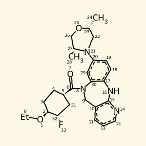 CCO[C@H]1CC[C@@H](C(=O)N2Cc3cccnc3Nc3ccc(N4C[C@@H](C)OC[C@H]4C)cc32)C[C@@H]1F